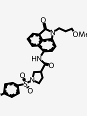 COCCCN1C(=O)c2cccc3c(NC(=O)C4CCN(S(=O)(=O)c5ccc(F)cc5)C4)ccc1c23